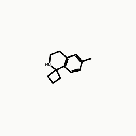 Cc1ccc2c(c1)CCNC21CCC1